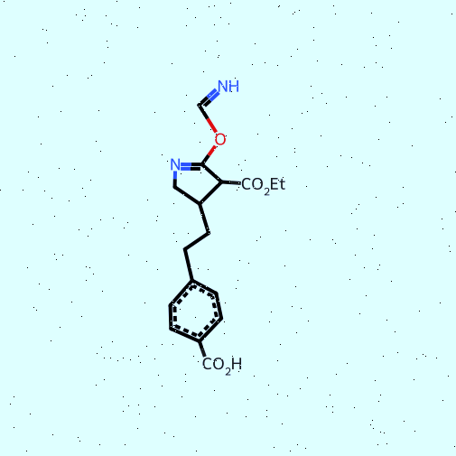 CCOC(=O)C1C(OC=N)=NCC1CCc1ccc(C(=O)O)cc1